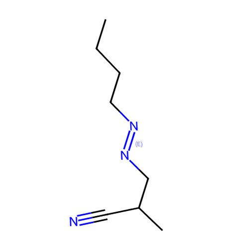 CCCC/N=N/CC(C)C#N